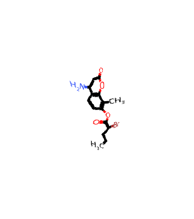 CCCC(Br)C(=O)Oc1ccc2c(N)cc(=O)oc2c1C